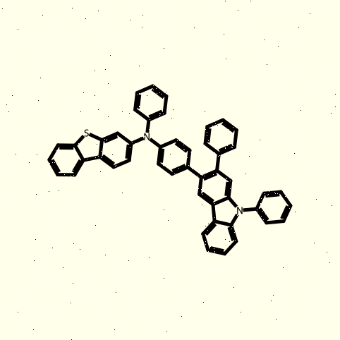 c1ccc(-c2cc3c(cc2-c2ccc(N(c4ccccc4)c4ccc5c(c4)sc4ccccc45)cc2)c2ccccc2n3-c2ccccc2)cc1